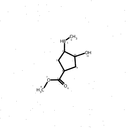 CBC1CC(C(=O)OC)CC1O